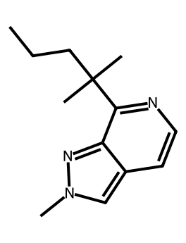 CCCC(C)(C)c1nccc2cn(C)nc12